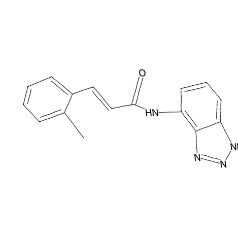 Cc1ccccc1C=CC(=O)Nc1cccc2[nH]nnc12